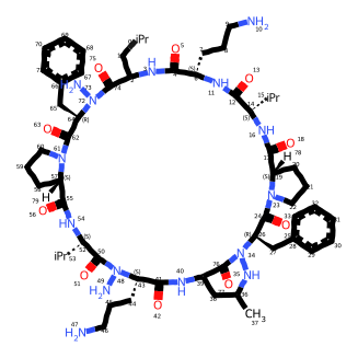 CC(C)CC1NC(=O)[C@H](CCCN)NC(=O)[C@H](C(C)C)NC(=O)[C@@H]2CCCN2C(=O)[C@@H](Cc2ccccc2)N2NC(C)CC(NC(=O)[C@H](CCCN)N(N)C(=O)[C@H](C(C)C)NC(=O)[C@@H]3CCCN3C(=O)[C@@H](Cc3ccccc3)N(N)C1=O)C2=O